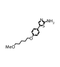 COCCCCCOc1ccc(-c2cnc(N)s2)cc1